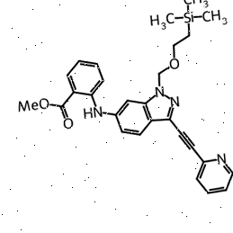 COC(=O)c1ccccc1Nc1ccc2c(C#Cc3ccccn3)nn(COCC[Si](C)(C)C)c2c1